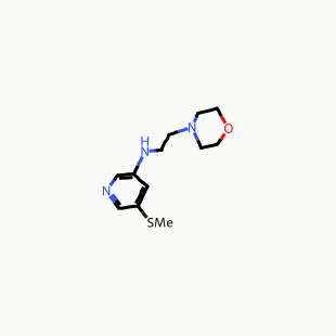 CSc1cncc(NCCN2CCOCC2)c1